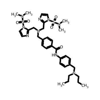 CCCN(CCC)Cc1ccc(NC(=O)c2ccc(CN(Cc3nccn3S(=O)(=O)N(C)C)Cc3nccn3S(=O)(=O)N(C)C)cc2)cc1